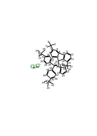 CC(C)(C)c1ccc2c(c1)-c1cccc(C(C)(C)C)c1[CH]2[Zr+2]([C]1=CC=CC1)=[C](c1ccc([Si](C)(C)C)cc1)c1ccc([Si](C)(C)C)cc1.[Cl-].[Cl-]